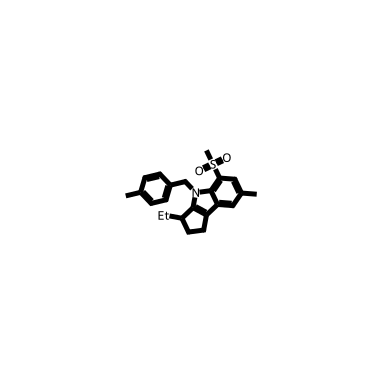 CCC1CCc2c1n(Cc1ccc(C)cc1)c1c(S(C)(=O)=O)cc(C)cc21